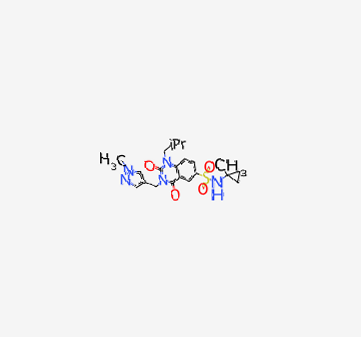 CC(C)Cn1c(=O)n(Cc2cnn(C)c2)c(=O)c2cc(S(=O)(=O)NC3(C)CC3)ccc21